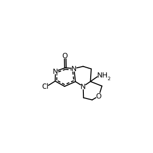 NC12CCn3c(cc(Cl)nc3=O)N1CCOC2